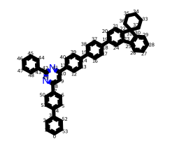 c1ccc(-c2ccc(-c3cc(-c4ccc(-c5ccc(-c6ccc7c(c6)-c6ccccc6C76CCCCC6)cc5)cc4)nc(-c4ccccc4)n3)cc2)cc1